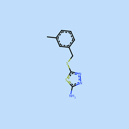 Cc1cccc(CSc2nnc(N)s2)c1